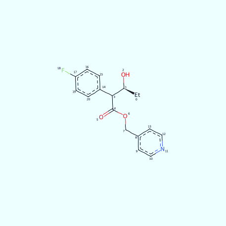 CC[C@H](O)C(C(=O)OCc1ccncc1)c1ccc(F)cc1